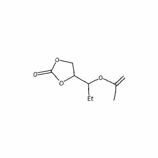 C=C(C)OC(CC)C1COC(=O)O1